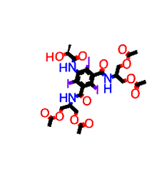 CC(=O)OCC(COC(C)=O)NC(=O)c1c(I)c(NC(=O)[C@H](C)O)c(I)c(C(=O)NC(COC(C)=O)COC(C)=O)c1I